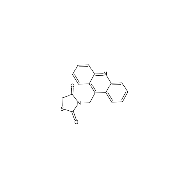 O=C1CSC(=O)N1Cc1c2ccccc2nc2ccccc12